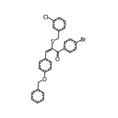 O=C(/C(=C\c1ccc(OCc2ccccc2)cc1)SCc1cccc(Cl)c1)c1ccc(Br)cc1